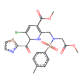 COC(=O)CN(CC1=C(C(=O)OC)C=C(Br)C(C(=O)c2nccs2)N1)S(=O)(=O)c1ccc(C)cc1